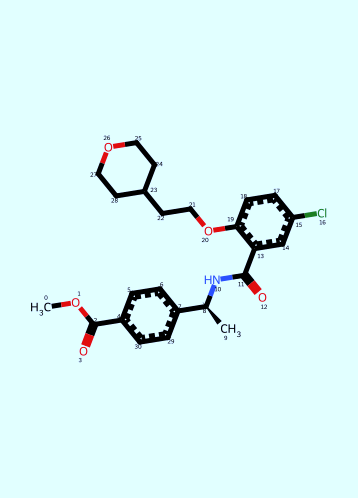 COC(=O)c1ccc([C@H](C)NC(=O)c2cc(Cl)ccc2OCCC2CCOCC2)cc1